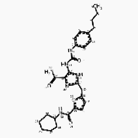 CCCCc1ccc(NC(=O)Nc2[nH]c(Cc3ccc(C(=O)NC4CCCCC4)o3)nc2C(N)=O)cc1